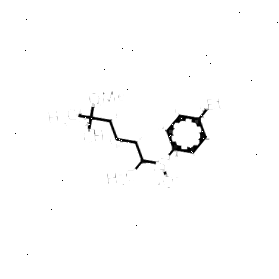 CCc1ccc([S+]([O-])C(C)CCCC(C)(C)OC)cc1